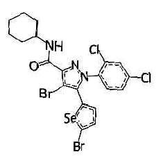 O=C(NC1CCCCC1)c1nn(-c2ccc(Cl)cc2Cl)c(-c2ccc(Br)[se]2)c1Br